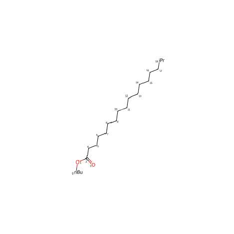 CCCCOC(=O)CCCCCCCCCCCCCCC(C)C